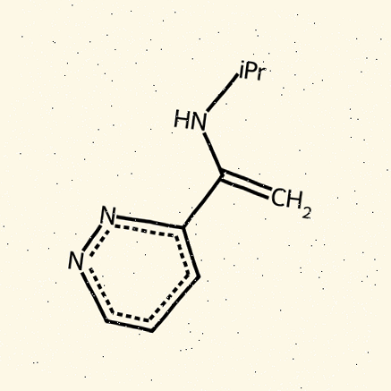 C=C(NC(C)C)c1cccnn1